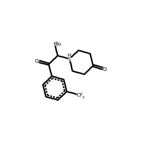 CC(C)(C)C(C(=O)c1cccc(C(F)(F)F)c1)[SH]1CCC(=O)CC1